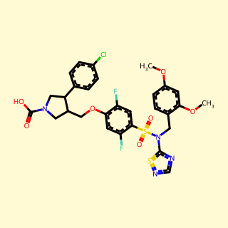 COc1ccc(CN(c2ncns2)S(=O)(=O)c2cc(F)c(OCC3CN(C(=O)O)CC3c3ccc(Cl)cc3)cc2F)c(OC)c1